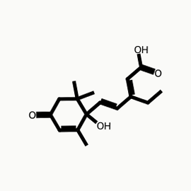 CCC(C=CC1(O)C(C)=CC(=O)CC1(C)C)=CC(=O)O